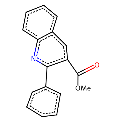 COC(=O)c1cc2ccccc2nc1-c1ccccc1